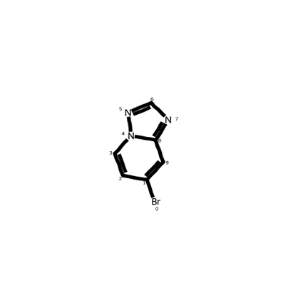 Brc1ccn2ncnc2c1